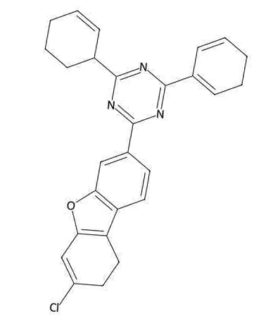 ClC1=Cc2oc3cc(-c4nc(C5=CCCC=C5)nc(C5C=CCCC5)n4)ccc3c2CC1